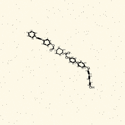 O=C(Oc1ccc(C#Cc2ccccc2)cc1)[C@H]1CC[C@H](C(=O)Oc2ccc(-c3ccc(OC#CC#CC#CO)cc3)cc2)CC1